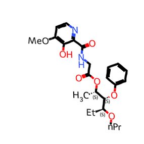 CCCO[C@@H](CC)[C@@H](Oc1ccccc1)[C@H](C)OC(=O)CNC(=O)c1nccc(OC)c1O